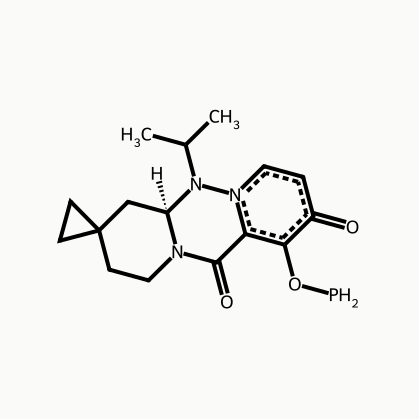 CC(C)N1[C@@H]2CC3(CCN2C(=O)c2c(OP)c(=O)ccn21)CC3